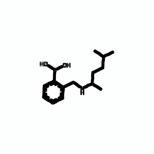 CC(C)CCC(C)NCc1ccccc1B(O)O